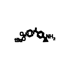 CC(c1ccc(C2(N)CC2)cc1)N1CCN(C(=O)OC(C)(C)C)CC1